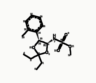 CCC1(CC)O[C@@H](NS(=O)(=O)OC)[C@@H](c2ccccc2C)O1